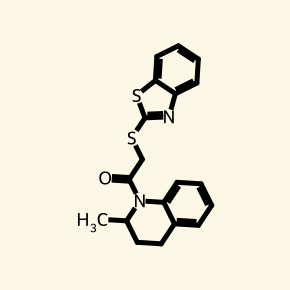 CC1CCc2ccccc2N1C(=O)CSc1nc2ccccc2s1